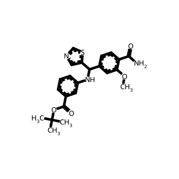 COc1cc(C(Nc2cccc(C(=O)OC(C)(C)C)c2)c2cncs2)ccc1C(N)=O